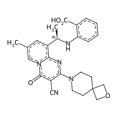 Cc1cc([C@@H](C)Nc2ccccc2C(=O)O)c2nc(N3CCC4(CC3)COC4)c(C#N)c(=O)n2c1